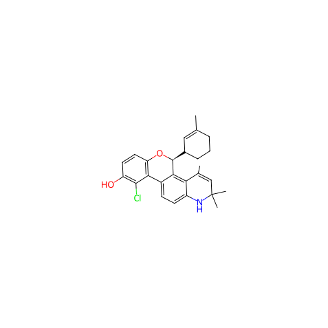 CC1=CC([C@@H]2Oc3ccc(O)c(Cl)c3-c3ccc4c(c32)C(C)=CC(C)(C)N4)CCC1